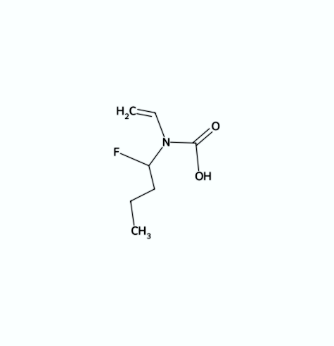 C=CN(C(=O)O)C(F)CCC